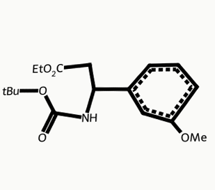 CCOC(=O)CC(NC(=O)OC(C)(C)C)c1cccc(OC)c1